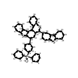 O=P(c1ccccc1)(c1ccccc1)c1ccc(-c2cc3c(-c4ccc5sc6ccccc6c5c4)nc4ccccc4c3c3c2sc2ccccc23)cc1